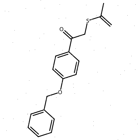 C=C(C)SCC(=O)c1ccc(OCc2ccccc2)cc1